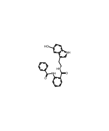 O=C(Nc1ccccc1C(=O)NCCc1c[nH]c2ccc(O)cc12)c1ccccc1